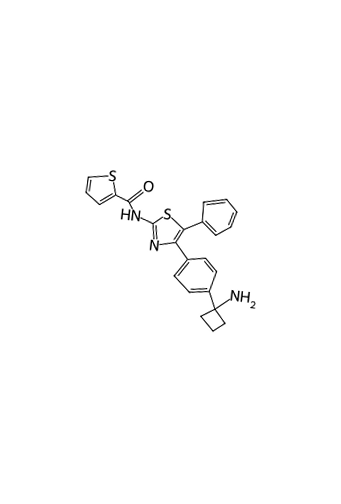 NC1(c2ccc(-c3nc(NC(=O)c4cccs4)sc3-c3ccccc3)cc2)CCC1